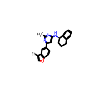 CCc1coc2ccc(-c3cc(N[C@@H]4CCCc5ccccc54)nc(C)n3)cc12